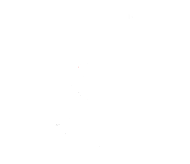 CC(C)CCCCCCCC(=O)O[C@H]1CC[C@@]2(C)C(=CCC3C2CC[C@@]2(C)C3CC[C@@H]2[C@H](C)CCCC(C)C)C1